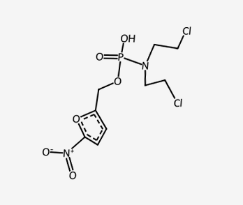 O=[N+]([O-])c1ccc(COP(=O)(O)N(CCCl)CCCl)o1